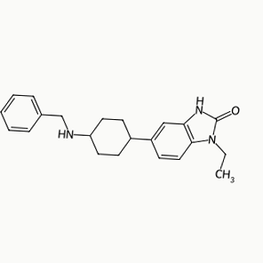 CCn1c(=O)[nH]c2cc(C3CCC(NCc4ccccc4)CC3)ccc21